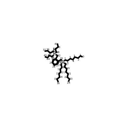 CCCCCCCC[PH](CCCCCCCC)(CCCCCCCC)Cc1ccccc1C[PH](CCCC)(CCCC)CCCC